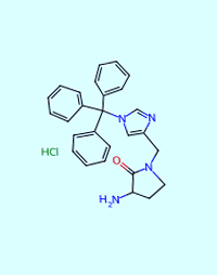 Cl.NC1CCN(Cc2cn(C(c3ccccc3)(c3ccccc3)c3ccccc3)cn2)C1=O